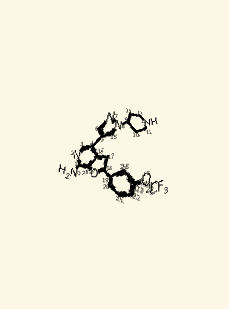 Nc1ncc(-c2cnn(C3CCNCC3)c2)c2cc(-c3cccc(OC(F)(F)F)c3)oc12